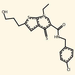 CCn1cc(C(=O)NCc2ccc(Cl)cc2)c(=S)c2cc(CCCO)sc21